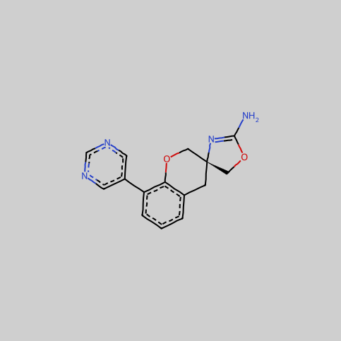 NC1=N[C@@]2(CO1)COc1c(cccc1-c1cncnc1)C2